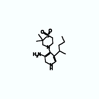 CCCC(C)C1=CNCC(N)=C1N1CCS(=O)(=O)C(C)(C)C1